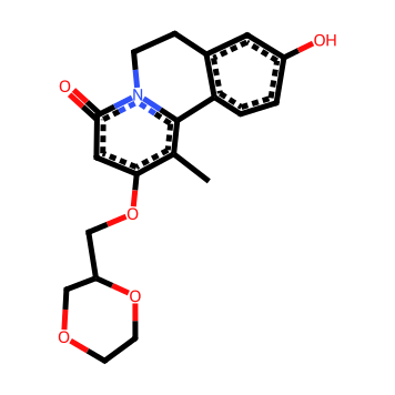 Cc1c(OCC2COCCO2)cc(=O)n2c1-c1ccc(O)cc1CC2